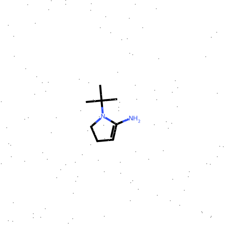 CC(C)(C)N1CCC=C1N